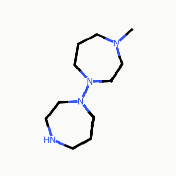 CN1CCCN(N2CCCNCC2)CC1